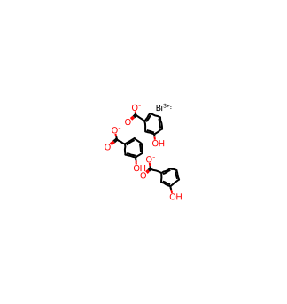 O=C([O-])c1cccc(O)c1.O=C([O-])c1cccc(O)c1.O=C([O-])c1cccc(O)c1.[Bi+3]